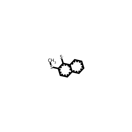 CSc1ccc2ccccc2c1[S]